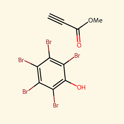 C#CC(=O)OC.Oc1c(Br)c(Br)c(Br)c(Br)c1Br